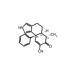 C[C@@H]1C(=O)C(C#N)=C[C@]2(c3ccccc3)c3n[nH]cc3CC[C@@H]12